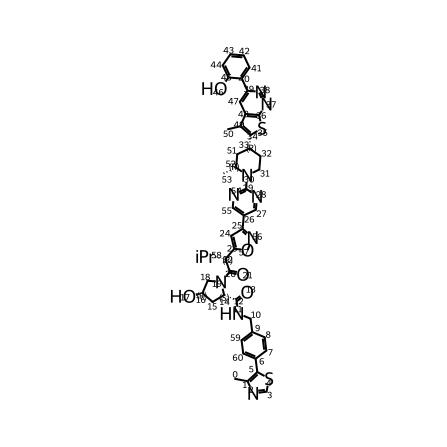 Cc1ncsc1-c1ccc(CNC(=O)[C@@H]2C[C@@H](O)CN2C(=O)[C@@H](c2cc(-c3cnc(N4CC[C@@H](c5sc6nnc(-c7ccccc7O)cc6c5C)C[C@H]4C)nc3)no2)C(C)C)cc1